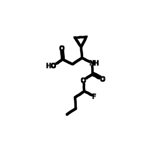 CCCC(F)OC(=O)NC(CC(=O)O)C1CC1